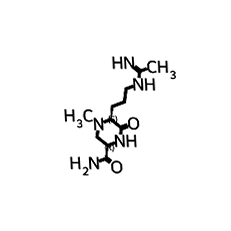 CC(=N)NCCC[C@H]1C(=O)N[C@@H](C(N)=O)CN1C